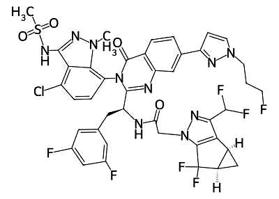 Cn1nc(NS(C)(=O)=O)c2c(Cl)ccc(-n3c([C@H](Cc4cc(F)cc(F)c4)NC(=O)Cn4nc(C(F)F)c5c4C(F)(F)[C@@H]4C[C@H]54)nc4cc(-c5ccn(CCCF)n5)ccc4c3=O)c21